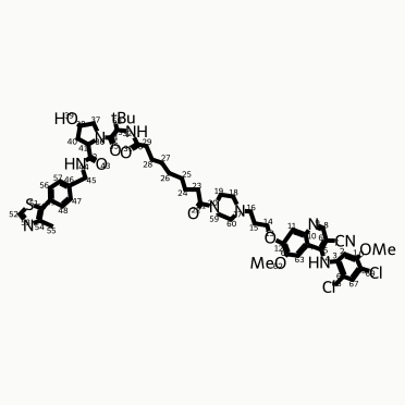 COc1cc(Nc2c(C#N)cnc3cc(OCCCN4CCN(C(=O)CCCCCCCC(=O)NC(C(=O)N5CC(O)CC5C(=O)NCc5ccc(-c6scnc6C)cc5)C(C)(C)C)CC4)c(OC)cc23)c(Cl)cc1Cl